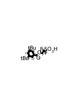 CC(C)(C)c1cc(C(=O)OCC(F)(F)S(=O)(=O)O)cc(C(C)(C)C)c1